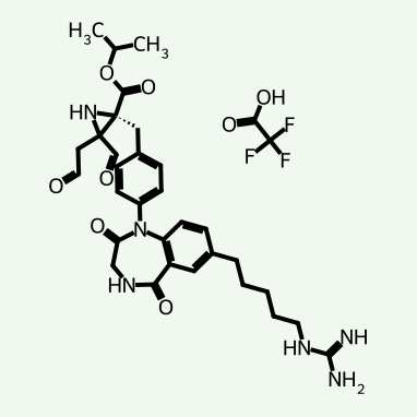 CC(C)OC(=O)[C@]1(Cc2ccc(N3C(=O)CNC(=O)c4cc(CCCCCNC(=N)N)ccc43)cc2)NC1(C=O)CC=O.O=C(O)C(F)(F)F